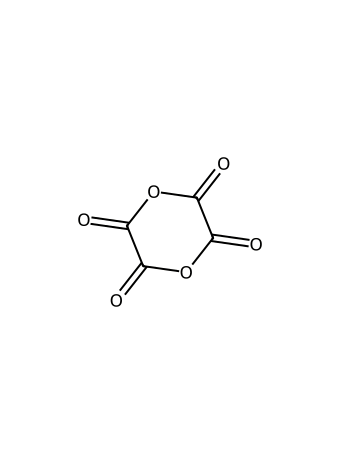 O=C1OC(=O)C(=O)OC1=O